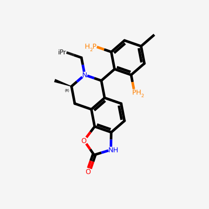 Cc1cc(P)c(C2c3ccc4[nH]c(=O)oc4c3C[C@@H](C)N2CC(C)C)c(P)c1